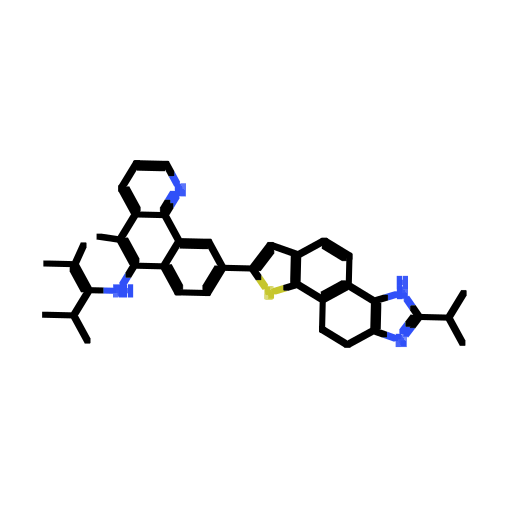 CC(C)=C(Nc1c(C)c2cccnc2c2cc(-c3cc4ccc5c(c4s3)CCc3nc(C(C)C)[nH]c3-5)ccc12)C(C)C